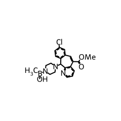 COC(=O)C1=Cc2cc(Cl)ccc2C(N2CCN(B(C)O)CC2)c2ncccc21